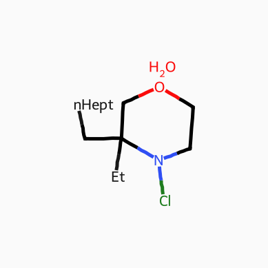 CCCCCCCCC1(CC)COCCN1Cl.O